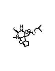 CC(C)COC(=O)CC1(C2C=CCC2)C(=O)NC(=S)N(C)C1=O